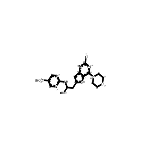 CCOC(=O)c1cnc(NC(Cc2cc3nc(Cl)nc(N4CCOCC4)c3s2)C(C)(C)C)nc1